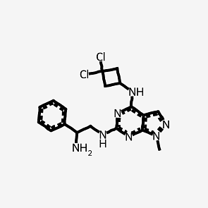 Cn1ncc2c(NC3CC(Cl)(Cl)C3)nc(NCC(N)c3ccccc3)nc21